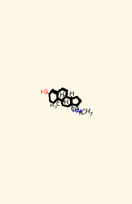 CN[C@H]1CC[C@H]2[C@@H]3CCC4=C[C@@H](O)CC[C@]4(C)[C@H]3CC[C@]12C